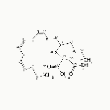 CCC/C=C\C/C=C\C/C=C\CCC(CCCC)SC(CC(=O)O)C(=O)O